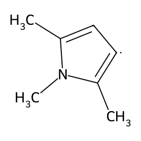 Cc1[c]cc(C)n1C